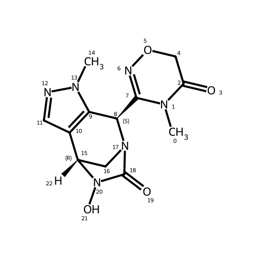 CN1C(=O)CON=C1[C@@H]1c2c(cnn2C)[C@@H]2CN1C(=O)N2O